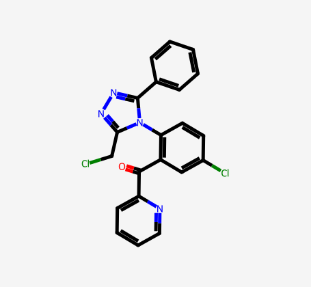 O=C(c1ccccn1)c1cc(Cl)ccc1-n1c(CCl)nnc1-c1ccccc1